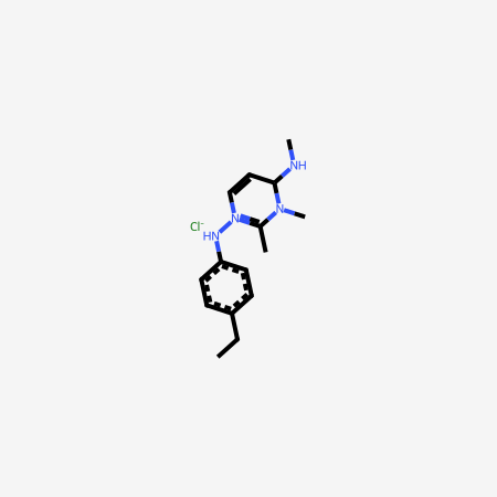 CCc1ccc(N[N+]2=C(C)N(C)C(NC)C=C2)cc1.[Cl-]